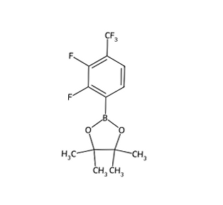 CC1(C)OB(c2ccc(C(F)(F)F)c(F)c2F)OC1(C)C